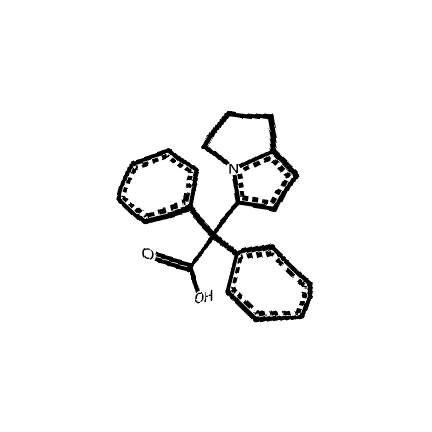 O=C(O)C(c1ccccc1)(c1ccccc1)c1ccc2n1CCC2